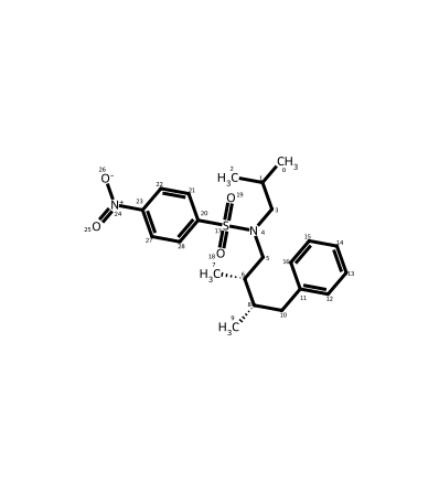 CC(C)CN(C[C@@H](C)[C@@H](C)Cc1ccccc1)S(=O)(=O)c1ccc([N+](=O)[O-])cc1